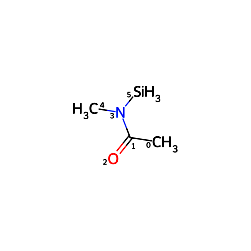 CC(=O)N(C)[SiH3]